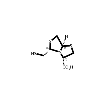 O=C(O)[C@H]1CS[C@@H]2CS[C@@H](CS)N12